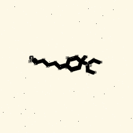 CCN(CC)C1(C)C=CC(=CCCCC=O)C=C1